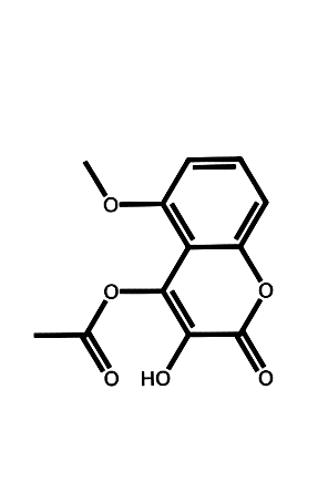 COc1cccc2oc(=O)c(O)c(OC(C)=O)c12